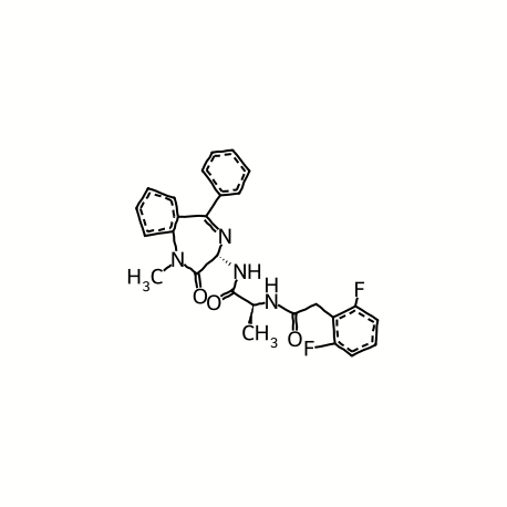 C[C@H](NC(=O)Cc1c(F)cccc1F)C(=O)N[C@H]1N=C(c2ccccc2)c2ccccc2N(C)C1=O